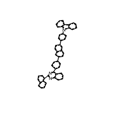 c1ccc2c(-c3nc(-c4ccc(-c5ccc6cc(-c7ccc(-n8c9ccccc9c9ccccc98)cc7)ccc6c5)cc4)c4ccccc4n3)cccc2c1